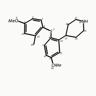 COc1ccc(Sc2ccc(OC)cc2C2CCNCC2)c(C)c1